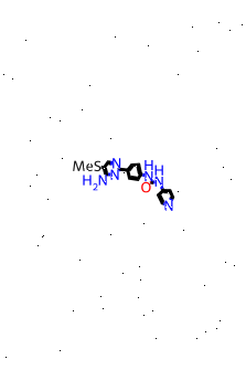 CSc1cnc(-c2ccc(NC(=O)Nc3ccncc3)cc2)nc1N